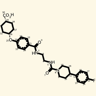 O=C(NCCNC(=O)N1CCC(c2ccc(F)cc2)CC1)c1ccc(O[C@H]2CC[C@@H](C(=O)O)CC2)cc1